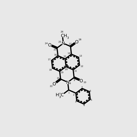 CC(c1ccccc1)N1C(=O)c2ccc3c4c(ccc(c24)C1=O)C(=O)N(C)C3=O